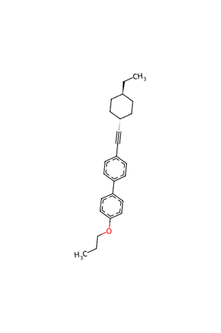 CCCOc1ccc(-c2ccc(C#C[C@H]3CC[C@H](CC)CC3)cc2)cc1